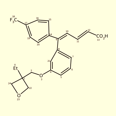 CCC1(COc2cccc(/C(=C\C=C\C(=O)O)c3ccc(C(F)(F)F)cc3)c2)COC1